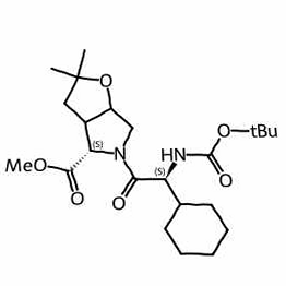 COC(=O)[C@@H]1C2CC(C)(C)OC2CN1C(=O)[C@@H](NC(=O)OC(C)(C)C)C1CCCCC1